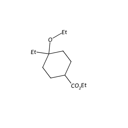 CCOC(=O)C1CCC(CC)(OCC)CC1